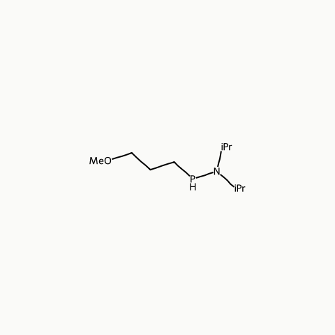 COCCCPN(C(C)C)C(C)C